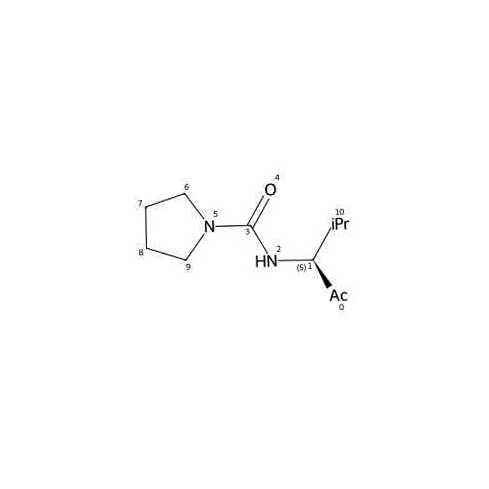 CC(=O)[C@@H](NC(=O)N1CCCC1)C(C)C